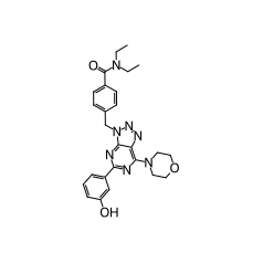 CCN(CC)C(=O)c1ccc(Cn2nnc3c(N4CCOCC4)nc(-c4cccc(O)c4)nc32)cc1